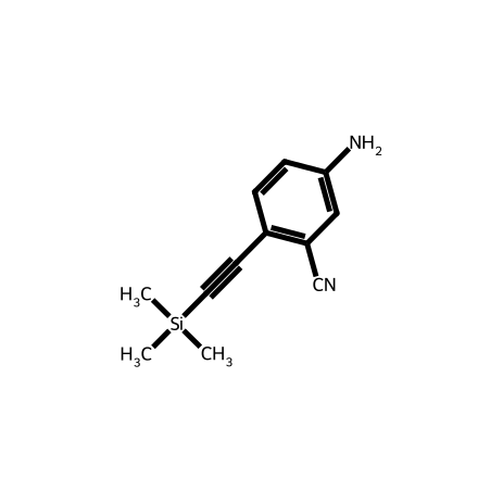 C[Si](C)(C)C#Cc1ccc(N)cc1C#N